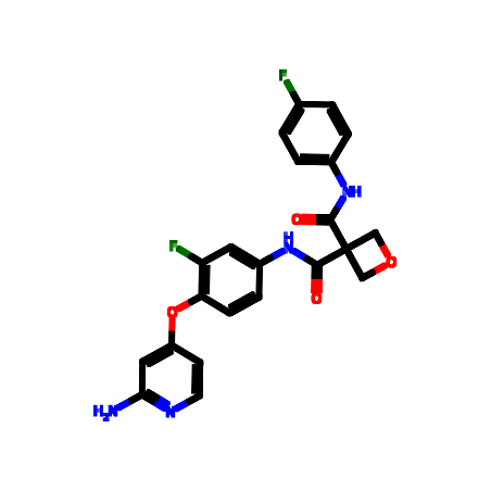 Nc1cc(Oc2ccc(NC(=O)C3(C(=O)Nc4ccc(F)cc4)COC3)cc2F)ccn1